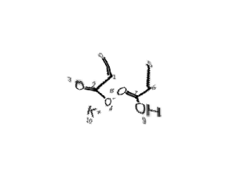 C=CC(=O)[O-].CCC(=O)O.[K+]